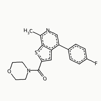 Cc1ncc(-c2ccc(F)cc2)c2cc(C(=O)N3CCOCC3)sc12